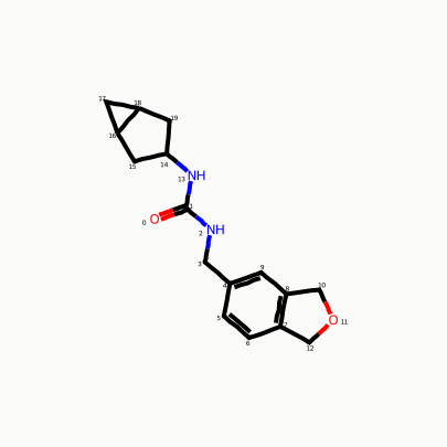 O=C(NCc1ccc2c(c1)COC2)NC1CC2CC2C1